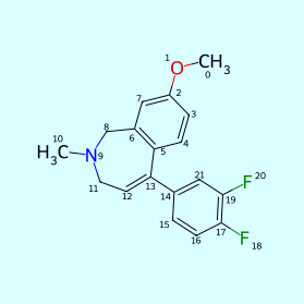 COc1ccc2c(c1)CN(C)CC=C2c1ccc(F)c(F)c1